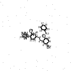 Cn1c(CCc2cc(Br)ccc2OCc2ccccc2)ccc(-n2ncnn2)c1=O